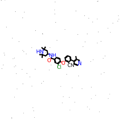 Cc1cnccc1-c1cccc(Oc2ccc(C(=O)NC3CC(C)(C)NC(C)(C)C3)cc2Cl)c1C#N